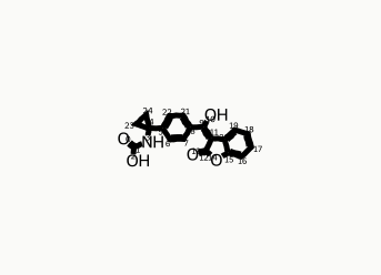 O=C(O)NC1(c2ccc(C(O)=C3C(=O)Oc4ccccc43)cc2)CC1